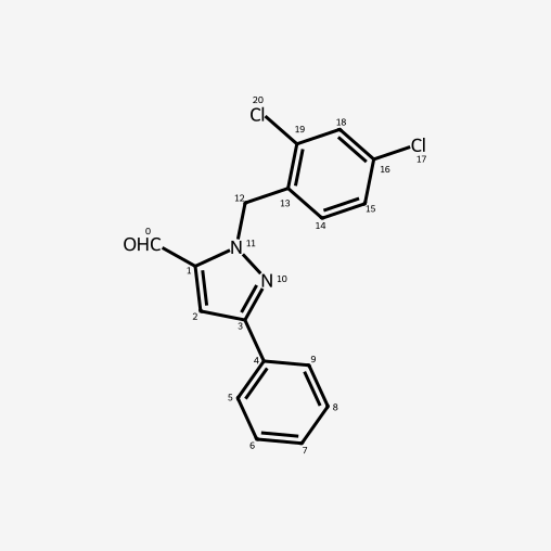 O=Cc1cc(-c2ccccc2)nn1Cc1ccc(Cl)cc1Cl